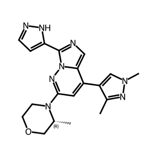 Cc1nn(C)cc1-c1cc(N2CCOC[C@H]2C)nn2c(-c3ccn[nH]3)ncc12